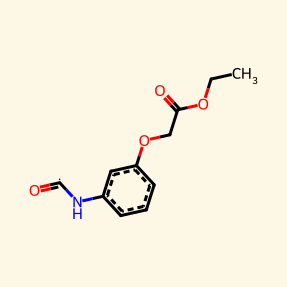 CCOC(=O)COc1cccc(N[C]=O)c1